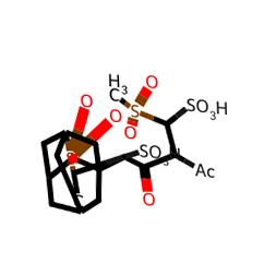 CC(=O)C(C(=O)CC12CC3CC4(CC(S(=O)(=O)O)S(=O)(=O)C(C3)(C1)C4)C2)C(S(C)(=O)=O)S(=O)(=O)O